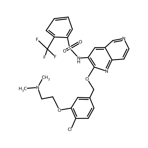 CN(C)CCOc1cc(COc2nc3ccncc3cc2NS(=O)(=O)c2ccccc2C(F)(F)F)ccc1Cl